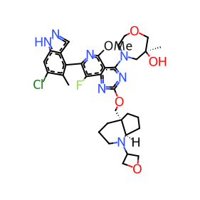 COc1nc(-c2c(C)c(Cl)cc3[nH]ncc23)c(F)c2nc(OC[C@]34CCC[C@H]3N(C3COC3)CCC4)nc(N3CCOC[C@@](C)(O)C3)c12